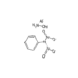 NO.O=[N+]([O-])N(c1ccccc1)[N+](=O)[O-].[Al]